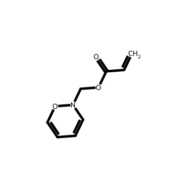 C=CC(=O)OCN1C=CC=CO1